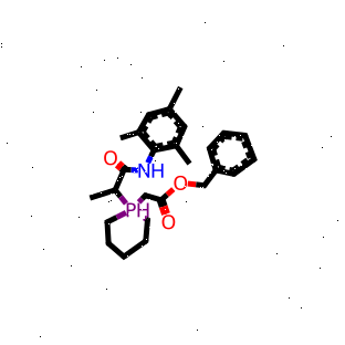 Cc1cc(C)c(NC(=O)C(C)[PH]2(CC(=O)OCc3ccccc3)CCCCC2)c(C)c1